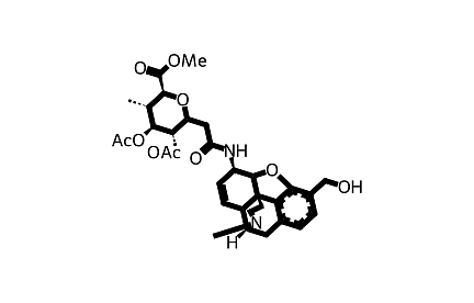 COC(=O)[C@H]1OC(CC(=O)N[C@@H]2C=CC3[C@H]4Cc5ccc(CO)c6c5[C@@]3(CCN4C)C2O6)[C@H](OC(C)=O)[C@@H](OC(C)=O)[C@@H]1C